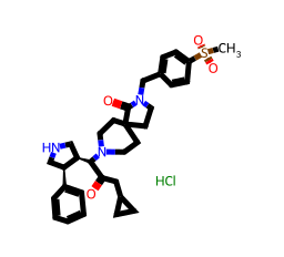 CS(=O)(=O)c1ccc(CN2CCC3(CCN(C(C(=O)CC4CC4)[C@@H]4CNC[C@@H]4c4ccccc4)CC3)C2=O)cc1.Cl